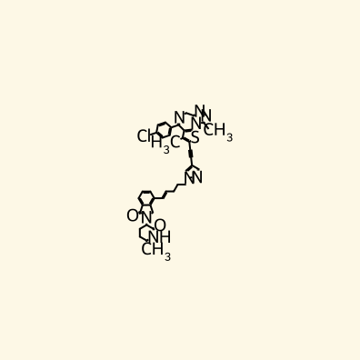 Cc1c(C#Cc2cnn(CCC/C=C/c3cccc4c3CN(C3CCC(C)NC3=O)C4=O)c2)sc2c1C(c1ccc(Cl)cc1)=NCc1nnc(C)n1-2